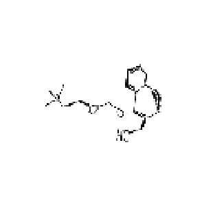 C[Si](C)(C)CCOCOc1c(CO)ccc2ccccc12